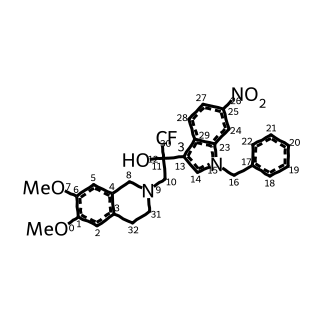 COc1cc2c(cc1OC)CN(CC(O)(c1cn(Cc3ccccc3)c3cc([N+](=O)[O-])ccc13)C(F)(F)F)CC2